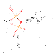 O=P([O-])([O-])OP(=O)([O-])[O-].[Mn+2].[Na+].[Na+].[V][Fe].[V][Fe]